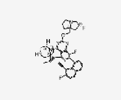 C#Cc1c(F)ccc2cccc(-c3nc(C#CC)c4c(N5[C@@H]6CC[C@H]5CNC6)nc(OC[C@@]56CCCN5C[C@H](F)C6)nc4c3F)c12